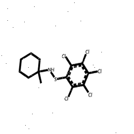 CC1(NSc2c(Cl)c(Cl)c(Cl)c(Cl)c2Cl)CCCCC1